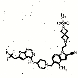 Cc1c(CN2CCC(Nc3ncnc4sc(CC(F)(F)F)cc34)CC2)ccc2c1cc(C#N)n2CCN1CC2(C1)CN(S(C)(=O)=O)C2